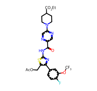 CCOC(=O)C1CCN(c2cnc(C(=O)Nc3nc(-c4ccc(F)c(OC(F)(F)F)c4)c(COC(C)=O)s3)cn2)CC1